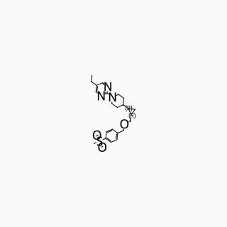 CCc1cnc(N2CCC([C@H]3C[C@H]3COCc3ccc(S(C)(=O)=O)cc3)CC2)nc1